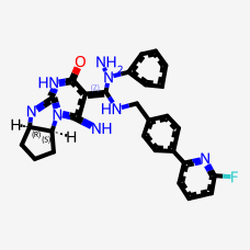 N=c1/c(=C(\NCc2ccc(-c3cccc(F)n3)cc2)N(N)c2ccccc2)c(=O)[nH]c2n1[C@H]1CCC[C@H]1N=2